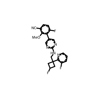 COc1c(C#N)ccc(F)c1-c1cnc(NCC2(c3ncccc3F)CC(F)C2)nc1